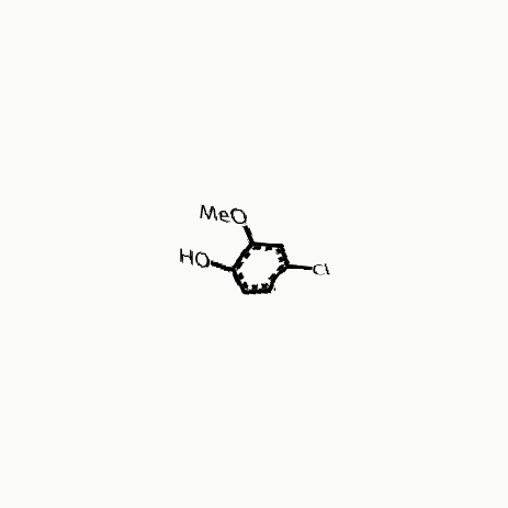 COc1cc(Cl)[c]cc1O